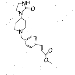 COC(=O)C=Cc1ccc(CN2CCC(N3CCNC3=O)CC2)cc1